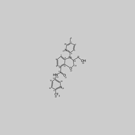 Cc1ccc(N2c3cccc(C(=O)Nc4ccc(C(F)(F)F)nc4)c3OCC2CO)nc1